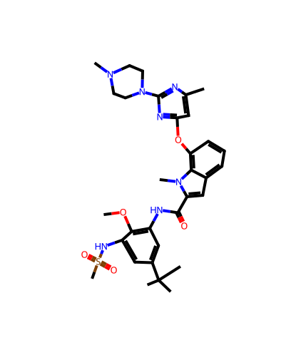 COc1c(NC(=O)c2cc3cccc(Oc4cc(C)nc(N5CCN(C)CC5)n4)c3n2C)cc(C(C)(C)C)cc1NS(C)(=O)=O